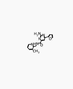 Cc1cccnc1CNC(=O)c1cc(-c2ccco2)nc(N)n1